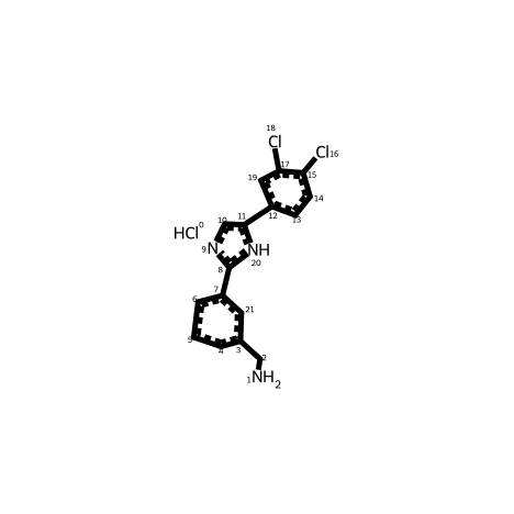 Cl.NCc1cccc(-c2ncc(-c3ccc(Cl)c(Cl)c3)[nH]2)c1